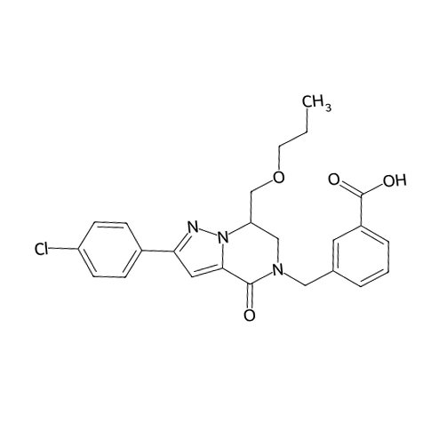 CCCOCC1CN(Cc2cccc(C(=O)O)c2)C(=O)c2cc(-c3ccc(Cl)cc3)nn21